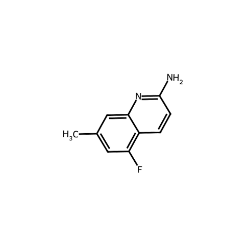 Cc1cc(F)c2ccc(N)nc2c1